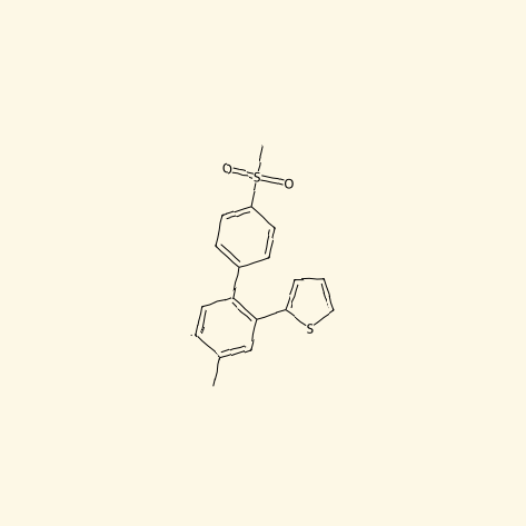 Cc1[c]cc(-c2ccc(S(C)(=O)=O)cc2)c(-c2cccs2)c1